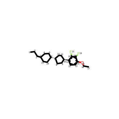 CCCC1CCC([C@H]2CC[C@H](c3ccc(OCC)c(F)c3F)CC2)CC1